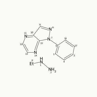 CCNN.c1ccc(-n2ncc3nccnc32)cc1